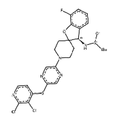 CC(C)(C)[S+]([O-])N[C@@H]1c2cccc(F)c2OC12CCN(c1cnc(Sc3ccnc(Cl)c3Cl)cn1)CC2